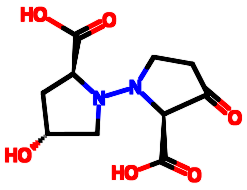 O=C(O)[C@@H]1C(=O)CCN1N1C[C@H](O)C[C@H]1C(=O)O